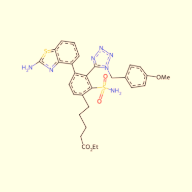 CCOC(=O)CCCCc1ccc(-c2cccc3sc(N)nc23)c(-c2nnnn2Cc2ccc(OC)cc2)c1S(N)(=O)=O